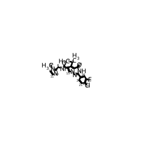 CC(C)c1c(C(=O)NCc2nccn2C)cn2nc(-c3ccc(Cl)c(F)c3)[nH]c(=O)c12